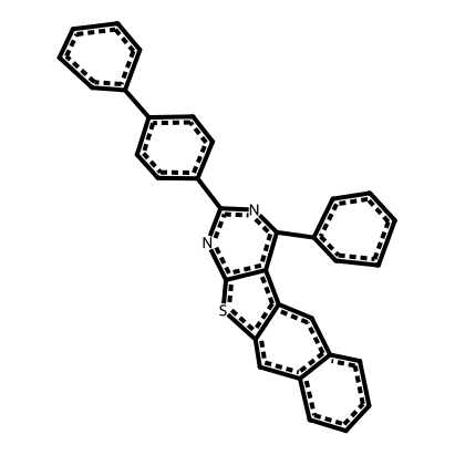 c1ccc(-c2ccc(-c3nc(-c4ccccc4)c4c(n3)sc3cc5ccccc5cc34)cc2)cc1